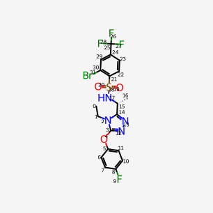 CCn1c(Oc2ccc(F)cc2)nnc1[C@@H](C)NS(=O)(=O)c1ccc(C(F)(F)F)cc1Br